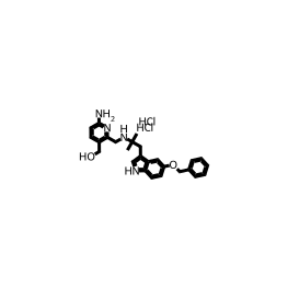 CC(C)(Cc1c[nH]c2ccc(OCc3ccccc3)cc12)NCc1nc(N)ccc1CO.Cl.Cl